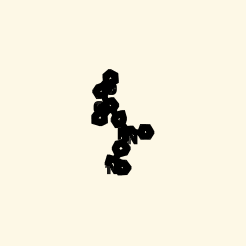 c1ccc(-c2cc(-c3ccc(-c4ccc(-c5cccc6c5oc5ccccc56)c5oc6ccccc6c45)cc3)nc(-c3ccc(-c4ccnc5ccccc45)cc3)n2)cc1